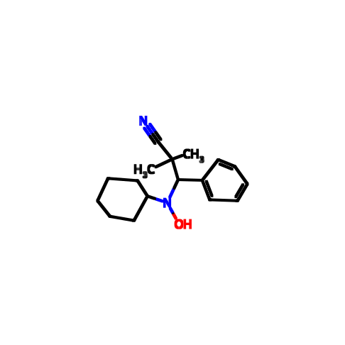 CC(C)(C#N)C(c1ccccc1)N(O)C1CCCCC1